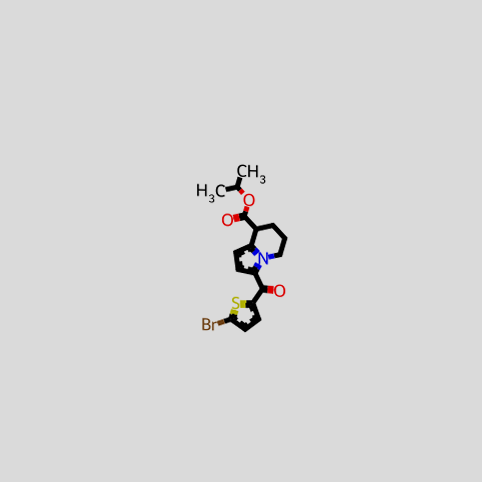 CC(C)OC(=O)C1CCCn2c(C(=O)c3ccc(Br)s3)ccc21